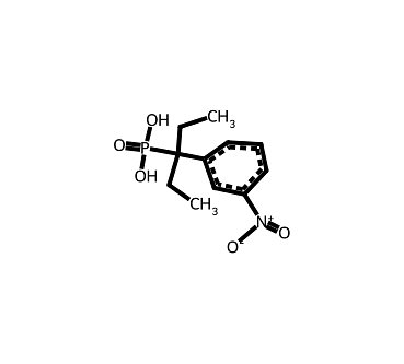 CCC(CC)(c1cccc([N+](=O)[O-])c1)P(=O)(O)O